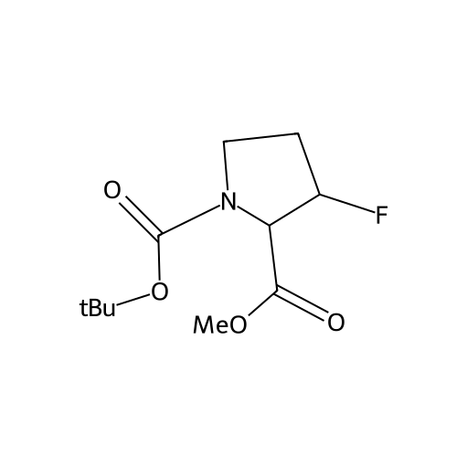 COC(=O)C1C(F)CCN1C(=O)OC(C)(C)C